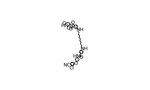 N#Cc1ccc(O[C@H]2CC[C@H](NC(=O)c3ccc(NCCCCCCCCCCCNc4ccc5c(c4)C(=O)N(C4CCC(=O)NC4=O)C5=O)cc3)CC2)cc1Cl